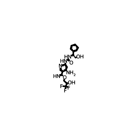 N=C(OC[C@@H](O)C(F)(F)F)c1cnc(NC(=O)N[C@H](CO)c2ccccc2)cc1N